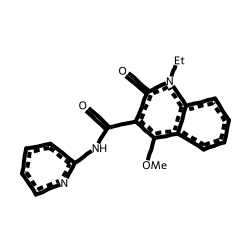 CCn1c(=O)c(C(=O)Nc2ccccn2)c(OC)c2ccccc21